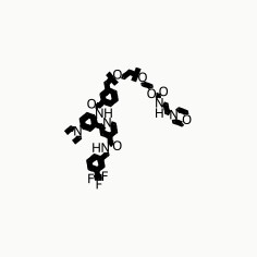 CCN(CC)c1ccc(NC(=O)c2cccc(CC(C)(C)OCCC(C)(C)OCCOC(=O)NCCN3CCOCC3)c2)c(-c2cc(C(=O)NCc3cccc(C(F)(F)F)c3)ccn2)c1